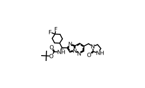 CC(C)(C)OC(=O)N[C@H](c1cn2ncc(CN3CCNC3=O)cc2n1)C1CCC(F)(F)CC1